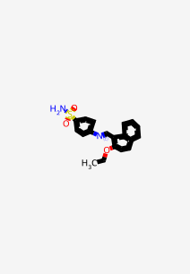 CCOc1ccc2ccccc2c1/C=N/c1ccc(S(N)(=O)=O)cc1